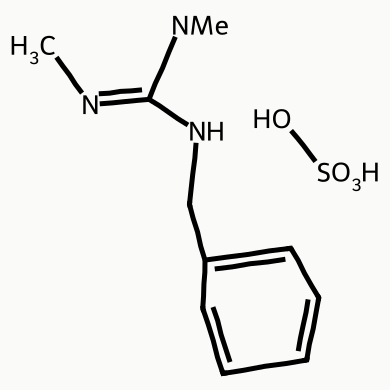 CN=C(NC)NCc1ccccc1.O=S(=O)(O)O